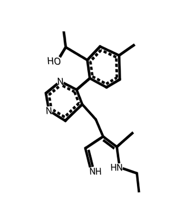 CCN/C(C)=C(\C=N)Cc1cncnc1-c1ccc(C)cc1C(C)O